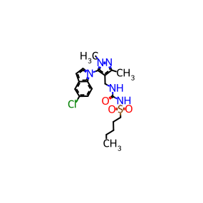 CCCCCS(=O)(=O)NC(=O)NCc1c(C)nn(C)c1-n1ccc2cc(Cl)ccc21